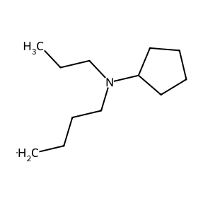 [CH2]CCCN(CCC)C1CCCC1